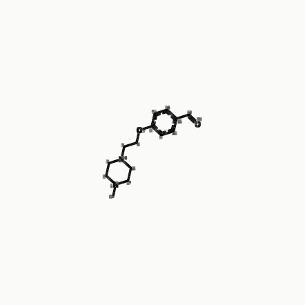 CN1CCN(CCOc2ccc([C]=O)cc2)CC1